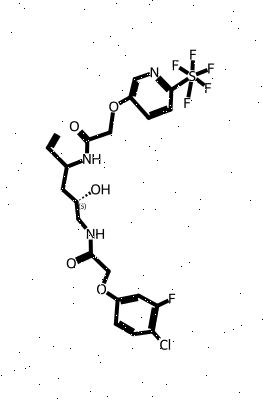 C=CC(C[C@H](O)CNC(=O)COc1ccc(Cl)c(F)c1)NC(=O)COc1ccc(S(F)(F)(F)(F)F)nc1